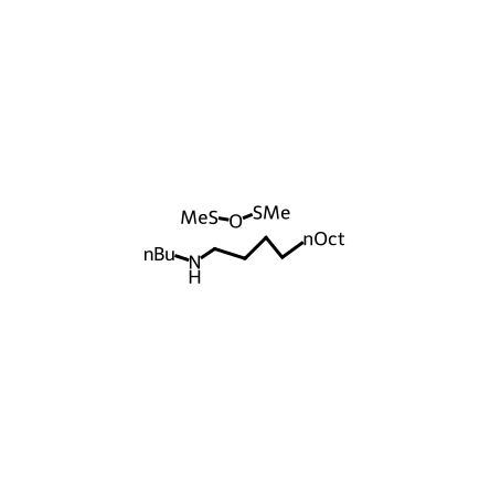 CCCCCCCCCCCCNCCCC.CSOSC